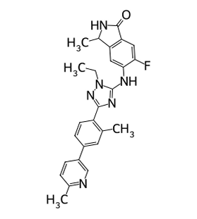 CCn1nc(-c2ccc(-c3ccc(C)nc3)cc2C)nc1Nc1cc2c(cc1F)C(=O)NC2C